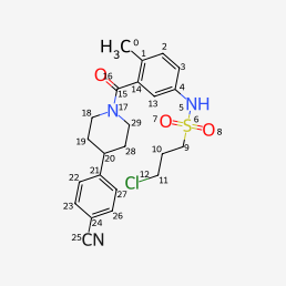 Cc1ccc(NS(=O)(=O)CCCCl)cc1C(=O)N1CCC(c2ccc(C#N)cc2)CC1